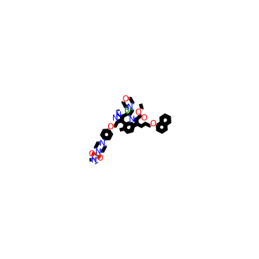 CCOC(=O)c1c(CCCOc2cccc3ccccc23)c2ccc(C)c(-c3c(COc4ccc(N5CCN(S(=O)(=O)N(C)C)CC5)cc4)nn(C)c3CBr)c2n1CCN1CCOCC1